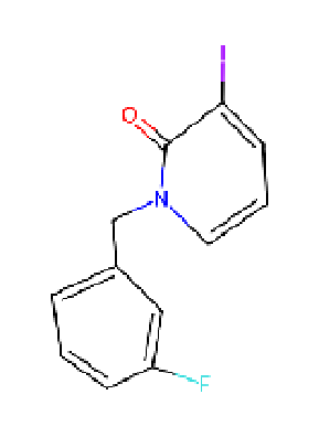 O=c1c(I)cccn1Cc1cccc(F)c1